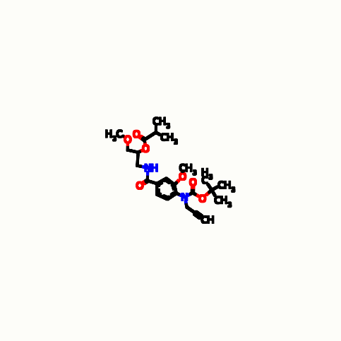 C#CCN(C(=O)OC(C)(C)C)c1ccc(C(=O)NCC(COC)OC(=O)C(C)C)cc1OC